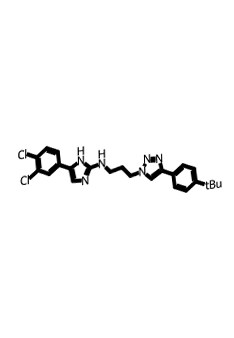 CC(C)(C)c1ccc(-c2cn(CCCNc3ncc(-c4ccc(Cl)c(Cl)c4)[nH]3)nn2)cc1